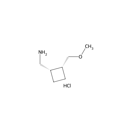 COC[C@@H]1CC[C@@H]1CN.Cl